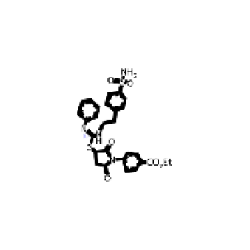 CCOC(=O)c1ccc(N2C(=O)CC(S/C(=N/c3ccccc3)NCCc3ccc(S(N)(=O)=O)cc3)C2=O)cc1